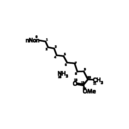 CCCCCCCCCCCCCCCCCCC(C)C(=O)OC.N